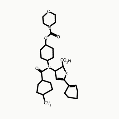 CC1CCC(C(=O)N(C2CCC(OC(=O)N3CCOCC3)CC2)C2C=C(C3=CCCCC3)SC2C(=O)O)CC1